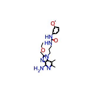 CCOCc1nc2c(N)nc(C)c(C)c2n1CCCNC(=O)Nc1cccc(OC)c1